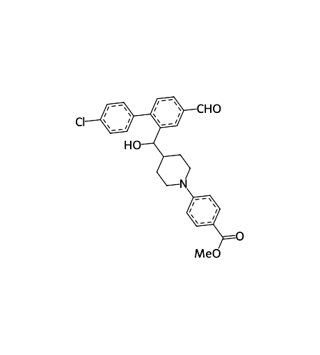 COC(=O)c1ccc(N2CCC(C(O)c3cc(C=O)ccc3-c3ccc(Cl)cc3)CC2)cc1